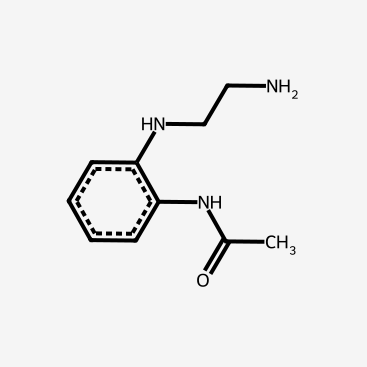 CC(=O)Nc1ccccc1NCCN